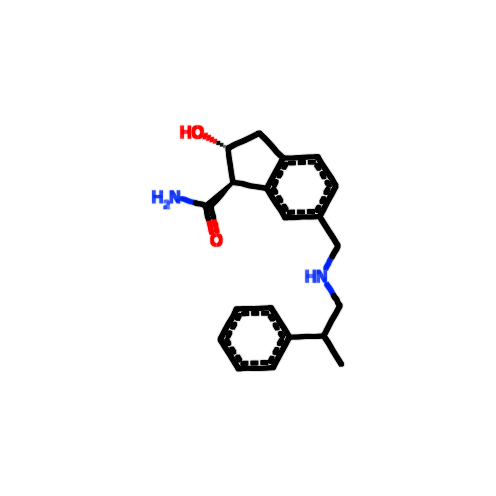 CC(CNCc1ccc2c(c1)[C@@H](C(N)=O)[C@H](O)C2)c1ccccc1